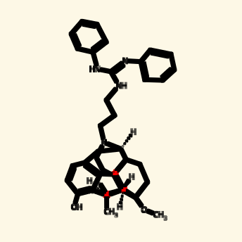 COC12CCC3(C[C@@H]1C(C)(C)O)[C@H]1Cc4ccc(O)c5c4[C@@]3(CCN1CCCN/C(=N\c1ccccc1)Nc1ccccc1)[C@H]2O5